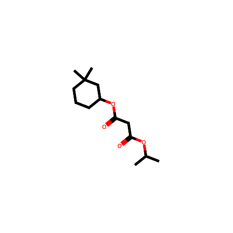 CC(C)OC(=O)CC(=O)OC1CCCC(C)(C)C1